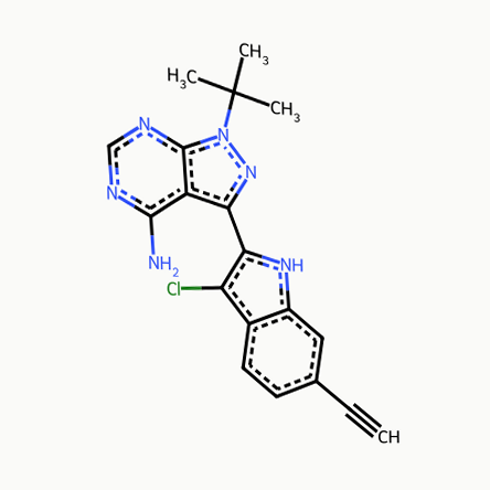 C#Cc1ccc2c(Cl)c(-c3nn(C(C)(C)C)c4ncnc(N)c34)[nH]c2c1